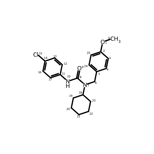 COc1ccc(CN(C(=O)Nc2ccc(Cl)cc2)C2CCCCC2)cc1